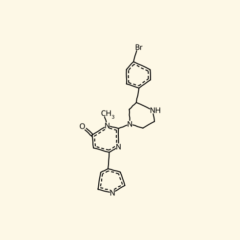 Cn1c(N2CCNC(c3ccc(Br)cc3)C2)nc(-c2ccncc2)cc1=O